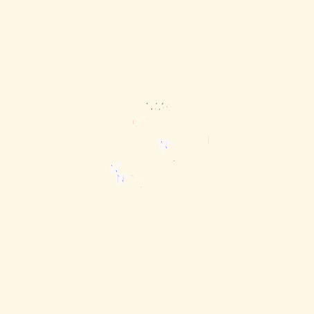 CNC(=O)CCN1/C(=C\C=C2/C(=O)N(c3ccccc3)N=C2C)C(C)(C)c2cc(F)ccc21